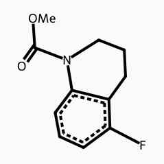 COC(=O)N1CCCc2c(F)cccc21